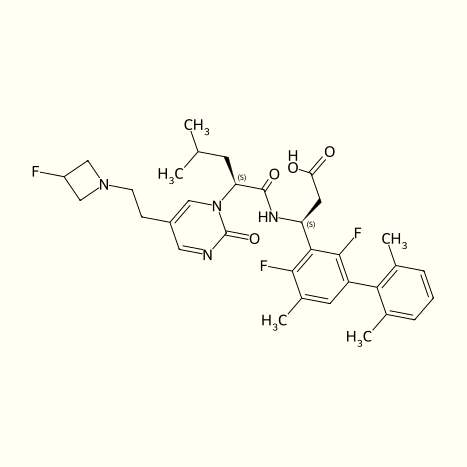 Cc1cc(-c2c(C)cccc2C)c(F)c([C@H](CC(=O)O)NC(=O)[C@H](CC(C)C)n2cc(CCN3CC(F)C3)cnc2=O)c1F